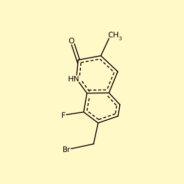 Cc1cc2ccc(CBr)c(F)c2[nH]c1=O